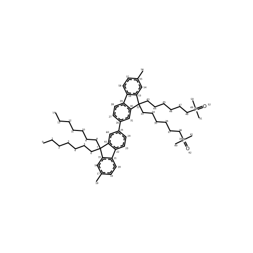 CCCCCCCC1(CCCCCCC)c2cc(C)ccc2-c2ccc(-c3ccc4c(c3)C(CCCCCCP(C)(C)=O)(CCCCCCP(C)(C)=O)c3cc(C)ccc3-4)cc21